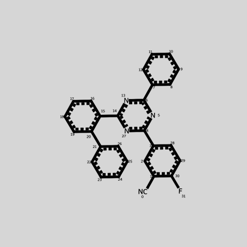 N#Cc1cc(-c2nc(-c3ccccc3)nc(-c3ccccc3-c3ccccc3)n2)ccc1F